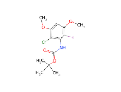 COc1cc(OC)c(I)c(NC(=O)OC(C)(C)C)c1Cl